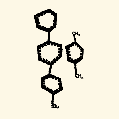 CC(C)(C)c1ccc(-c2ccc(-c3ccccc3)cc2)cc1.Cc1ccc(C)cc1